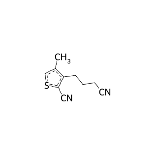 Cc1csc(C#N)c1CCCC#N